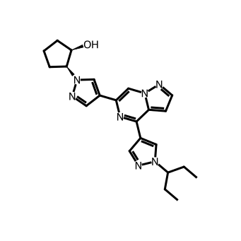 CCC(CC)n1cc(-c2nc(-c3cnn([C@H]4CCC[C@H]4O)c3)cn3nccc23)cn1